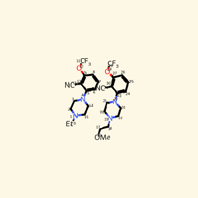 CCN1CCN(c2cccc(OC(F)(F)F)c2C#N)CC1.COCCN1CCN(c2cccc(OC(F)(F)F)c2C#N)CC1